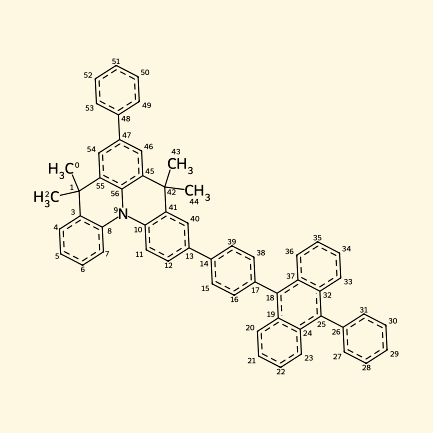 CC1(C)c2ccccc2N2c3ccc(-c4ccc(-c5c6ccccc6c(-c6ccccc6)c6ccccc56)cc4)cc3C(C)(C)c3cc(-c4ccccc4)cc1c32